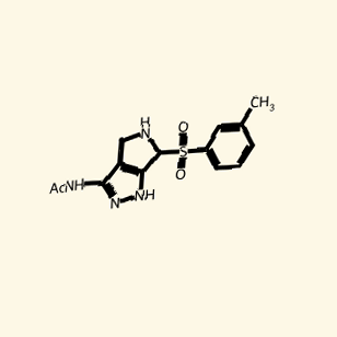 CC(=O)Nc1n[nH]c2c1CNC2S(=O)(=O)c1cccc(C)c1